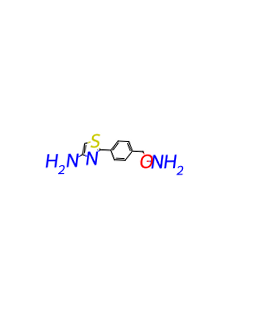 NOCc1ccc(-c2nc(N)cs2)cc1